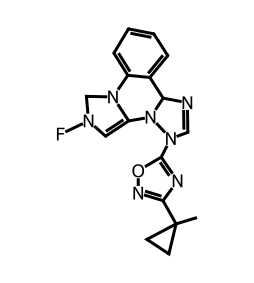 CC1(c2noc(N3C=NC4c5ccccc5N5CN(F)C=C5N43)n2)CC1